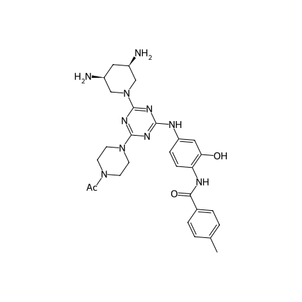 CC(=O)N1CCN(c2nc(Nc3ccc(NC(=O)c4ccc(C)cc4)c(O)c3)nc(N3C[C@H](N)C[C@H](N)C3)n2)CC1